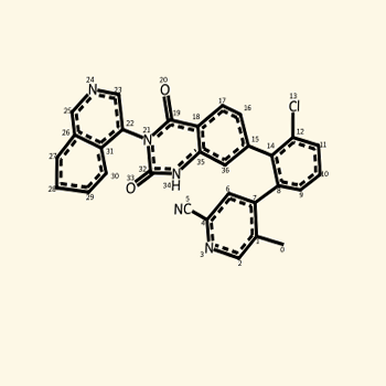 Cc1cnc(C#N)cc1-c1cccc(Cl)c1-c1ccc2c(=O)n(-c3cncc4ccccc34)c(=O)[nH]c2c1